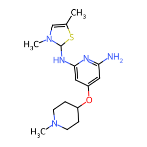 CC1=CN(C)C(Nc2cc(OC3CCN(C)CC3)cc(N)n2)S1